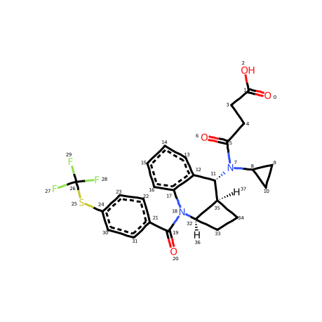 O=C(O)CCC(=O)N(C1CC1)[C@H]1c2ccccc2N(C(=O)c2ccc(SC(F)(F)F)cc2)[C@@H]2CC[C@@H]21